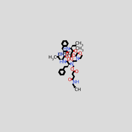 C#CCNC(=O)CCC(=O)OCN(C(=O)CN1CCOCC1)[C@@H](CCc1ccccc1)C(=O)N[C@@H](CC(C)C)C(=O)N[C@@H](Cc1ccccc1)C(=O)N[C@@H](CC(C)C)C(=O)[C@]1(C)CO1